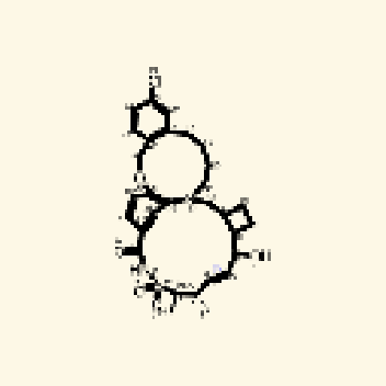 C[C@@H]1[C@@H](C)/C=C/C(O)C2CCC2CN2CCCCc3cc(Cl)ccc3COc3ccc(cc32)C(=O)NS1(=O)=O